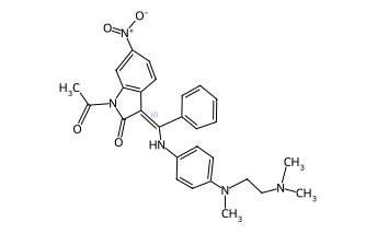 CC(=O)N1C(=O)/C(=C(\Nc2ccc(N(C)CCN(C)C)cc2)c2ccccc2)c2ccc([N+](=O)[O-])cc21